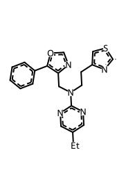 CCc1cnc(N(CCc2cs[c]n2)Cc2ncoc2-c2ccccc2)nc1